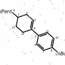 CCCCCC1CC=C(c2ccc(CCCC)cc2)CC1